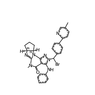 Cc1ccc(-c2ccc(C(Br)n3nc4c(c3Nc3ccccc3)C(=O)N(C)C3=N[C@@H]5CCC[C@@H]5N34)cc2)nc1